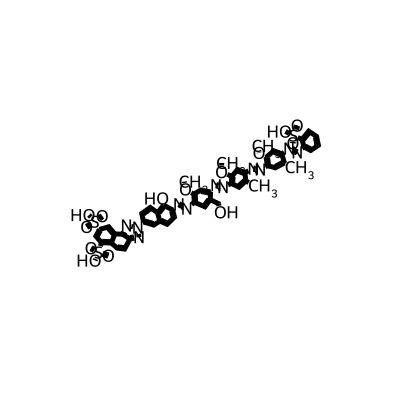 COc1cc(N=Nc2ccccc2S(=O)(=O)O)c(C)cc1N=Nc1cc(OC)c(N=Nc2cc(OC)c(N=Nc3ccc4cc(-n5nc6ccc7c(S(=O)(=O)O)cc(S(=O)(=O)O)cc7c6n5)ccc4c3O)cc2CO)cc1C